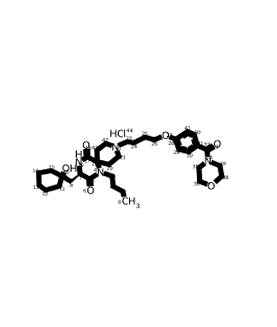 CCCCN1C(=O)[C@@H](CC2(O)CCCCC2)NC(=O)C12CCN(CCCCOc1ccc(C(=O)N3CCOCC3)cc1)CC2.Cl